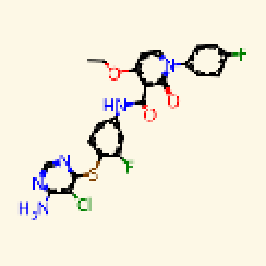 CCOc1ccn(-c2ccc(F)cc2)c(=O)c1C(=O)Nc1ccc(Sc2ncnc(N)c2Cl)c(F)c1